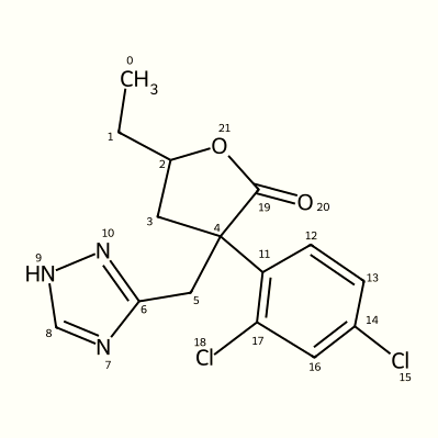 CCC1CC(Cc2nc[nH]n2)(c2ccc(Cl)cc2Cl)C(=O)O1